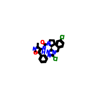 Cc1noc(-c2ccccc2)c1NC(=O)N1CCC[C@@H]1c1nnc(Cl)n1Cc1ccc(Cl)cc1